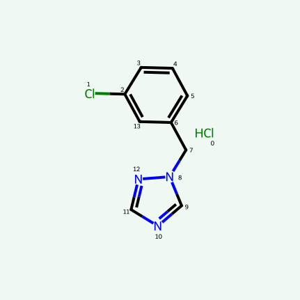 Cl.Clc1cccc(Cn2cncn2)c1